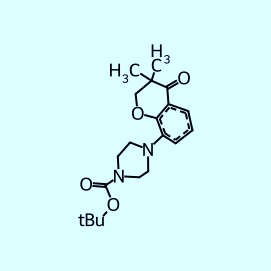 CC(C)(C)OC(=O)N1CCN(c2cccc3c2OCC(C)(C)C3=O)CC1